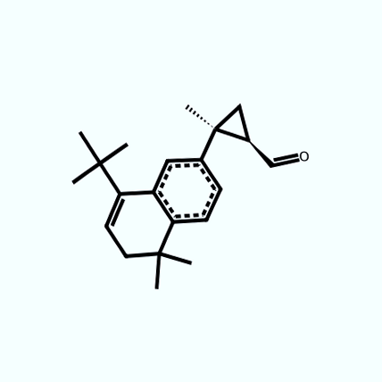 CC(C)(C)C1=CCC(C)(C)c2ccc([C@@]3(C)C[C@H]3C=O)cc21